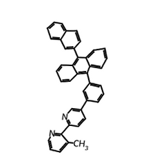 Cc1cccnc1-c1ccc(-c2cccc(-c3c4ccccc4c(-c4ccc5ccccc5c4)c4ccccc34)c2)cn1